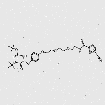 CC(C)(C)OC(=O)N[C@@H](Cc1ccc(OCCOCCOCCNC(=O)c2ccc(C#N)s2)cc1)C(=O)OC(C)(C)C